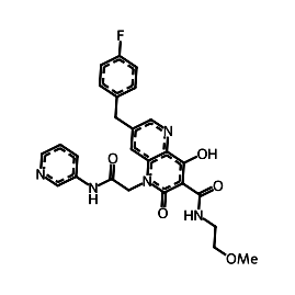 COCCNC(=O)c1c(O)c2ncc(Cc3ccc(F)cc3)cc2n(CC(=O)Nc2cccnc2)c1=O